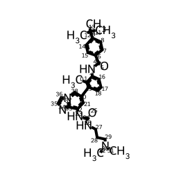 Cc1c(NC(=O)c2ccc(C(C)(C)C)cc2)cccc1-c1cc(NC(=O)NCCCN(C)C)c2nccn2c1